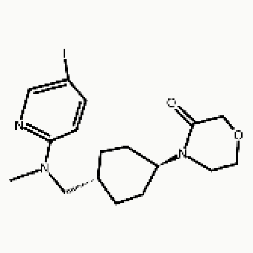 CN(C[C@H]1CC[C@H](N2CCOCC2=O)CC1)c1ccc(I)cn1